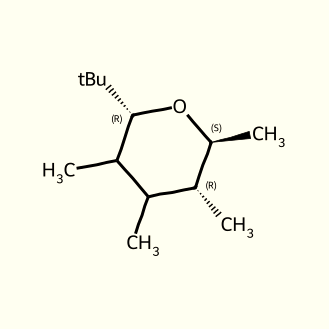 CC1C(C)[C@H](C(C)(C)C)O[C@@H](C)[C@@H]1C